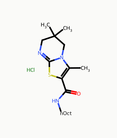 CCCCCCCCNC(=O)C1=C(C)N2CC(C)(C)CN=C2S1.Cl